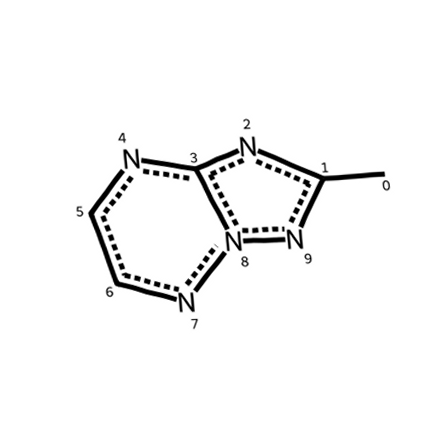 Cc1nc2nccnn2n1